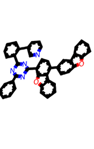 c1ccc(-c2nc(-c3ccccc3-c3cccnc3)nc(-c3ccc(-c4ccc5oc6ccccc6c5c4)c4c3oc3ccccc34)n2)cc1